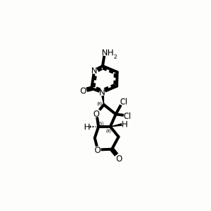 Nc1ccn([C@@H]2O[C@@H]3COC(=O)C[C@H]3C2(Cl)Cl)c(=O)n1